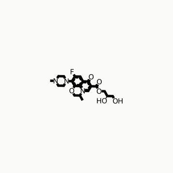 CC1COc2c(N3CCN(C)CC3)c(F)cc3c(=O)c(C(=O)OC[C@@H](O)CO)cn1c23